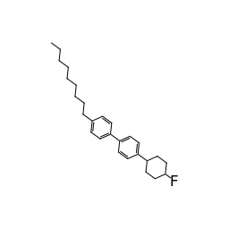 CCCCCCCCCc1ccc(-c2ccc(C3CCC(F)CC3)cc2)cc1